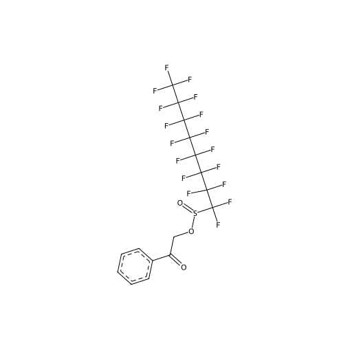 O=C(COS(=O)C(F)(F)C(F)(F)C(F)(F)C(F)(F)C(F)(F)C(F)(F)C(F)(F)C(F)(F)F)c1ccccc1